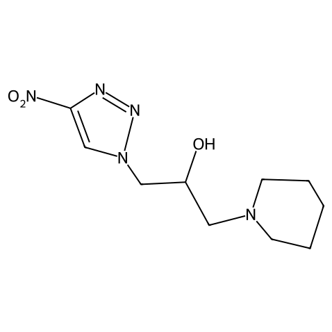 O=[N+]([O-])c1cn(CC(O)CN2CCCCC2)nn1